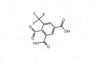 O=C(O)c1cc(C(=O)O)c(I(=O)=O)c(C(F)(F)F)c1